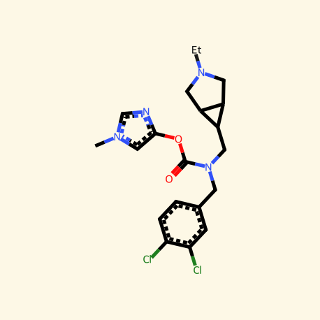 CCN1CC2C(C1)C2CN(Cc1ccc(Cl)c(Cl)c1)C(=O)Oc1cn(C)cn1